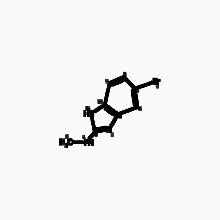 CPc1nc2cc(Br)ccc2[nH]1